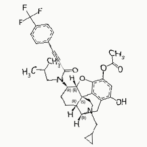 CC(=O)Oc1cc(O)c2c3c1O[C@H]1[C@H](N(CC(C)C)C(=O)C#Cc4ccc(C(F)(F)F)cc4)CC[C@H]4[C@@H](C2)N(CC2CC2)CC[C@@]341